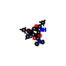 Cc1cc(C)c(-c2cc3c4c(c2)Oc2ccccc2B4c2cc4c(cc2N3)Oc2cc(N(c3ccccc3)c3ccccc3)cc3c2B4c2cc4c(cc2O3)N(c2c(C)cc(C)cc2C)c2cc(-c3c(C)cc(C)cc3C)cc3c2B4c2ccccc2O3)c(C)c1